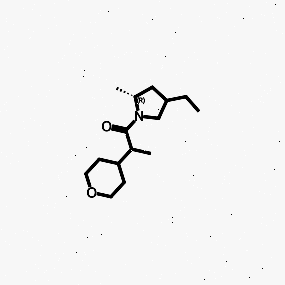 CCC1C[C@@H](C)N(C(=O)C(C)C2CCOCC2)C1